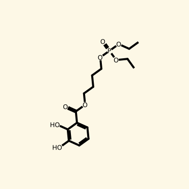 CCOP(=O)(OCC)OCCCCOC(=O)c1cccc(O)c1O